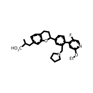 CCOc1cc(-c2ccc(C3CCc4ccc(CC(C)C(=O)O)cc4O3)cc2CN2CCCC2)c(F)cn1